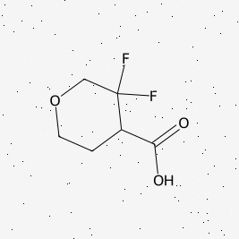 O=C(O)C1CCOCC1(F)F